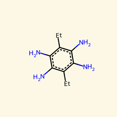 CCc1c(N)c(N)c(CC)c(N)c1N